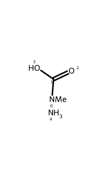 CNC(=O)O.N